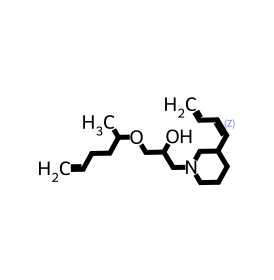 C=C/C=C\C1CCCN(CC(O)COC(C)CCC=C)C1